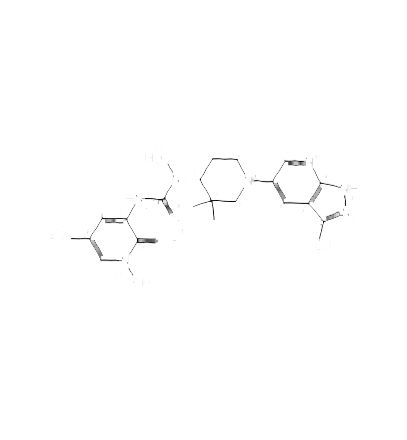 Cc1n[nH]c2ncc(N3CC[C@@H](N(C)C(=O)Nc4cc(C(F)(F)F)cn(C)c4=O)C(F)(F)C3)cc12